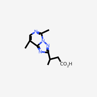 Cc1cnc(C)n2nc(C(C)CC(=O)O)nc12